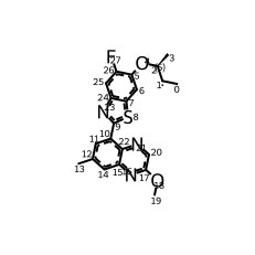 C[CH][C@H](C)Oc1cc2sc(-c3cc(C)cc4nc(OC)cnc34)nc2cc1F